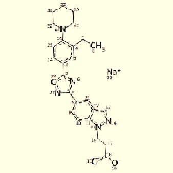 CCc1cc(-c2nc(-c3ccc4c(cnn4CCC(=O)[O-])c3)no2)ccc1N1CCCCC1.[Na+]